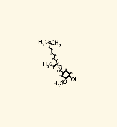 CC=C(CCCCCCC(C)C)OCc1ccc(O)c(OC)c1